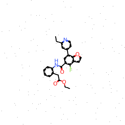 CCOC(=O)Cc1ccccc1NC(=O)c1cc(-c2ccnc(CC)c2)c2occc2c1F